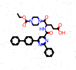 CCOC(=O)N1CCN(C(=O)C(CCC(=O)O)NC(=O)c2cc(-c3ccc(-c4ccccc4)cc3)nc(-c3ccccc3)n2)CC1